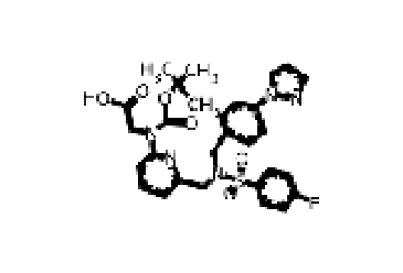 CC(C)(C)OC(=O)N(CC(=O)O)c1cccc(CN(Cc2ccc(-n3cccn3)cc2)S(=O)(=O)c2ccc(F)cc2)n1